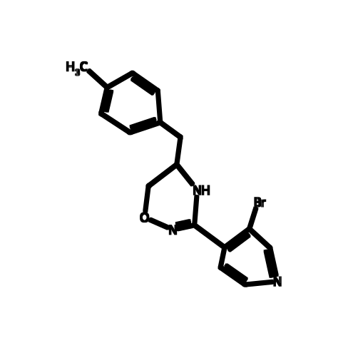 Cc1ccc(CC2CON=C(c3ccncc3Br)N2)cc1